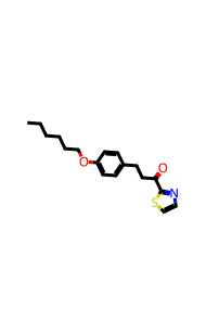 CCCCCCOc1ccc(CCC(=O)c2nccs2)cc1